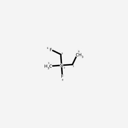 CC[Si](C)(F)CF